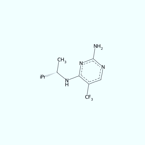 CC(C)[C@H](C)Nc1nc(N)ncc1C(F)(F)F